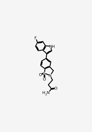 NC(=O)CCN1Cc2cc(-c3c[nH]c4cc(F)ccc34)ccc2S1(=O)=O